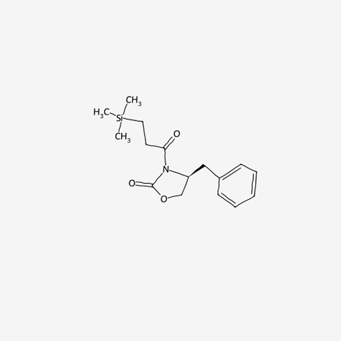 C[Si](C)(C)CCC(=O)N1C(=O)OC[C@@H]1Cc1ccccc1